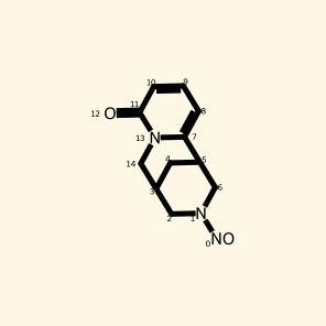 O=NN1CC2CC(C1)c1cccc(=O)n1C2